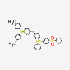 Cc1ccc([SH](c2ccc(C)cc2)c2ccc(Cc3ccc([SH](c4ccccc4)c4ccc(S(=O)(=O)C5CCCCC5)cc4)cc3)cc2)cc1